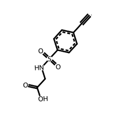 [C]#Cc1ccc(S(=O)(=O)NCC(=O)O)cc1